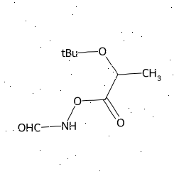 CC(OC(C)(C)C)C(=O)ONC=O